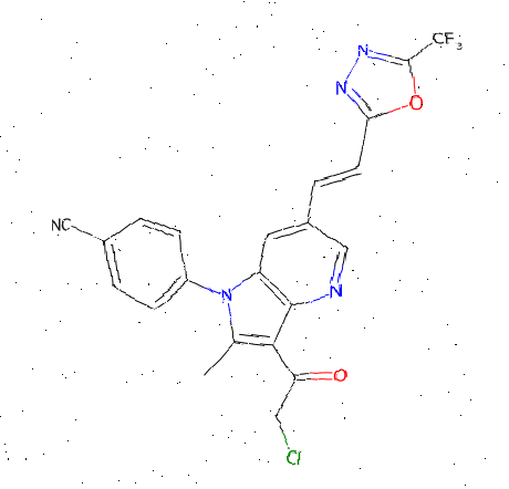 Cc1c(C(=O)CCl)c2ncc(C=Cc3nnc(C(F)(F)F)o3)cc2n1-c1ccc(C#N)cc1